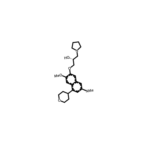 CNc1cc(C2CCOCC2)c2cc(OC)c(OC[C@H](O)CN3CCCC3)cc2c1